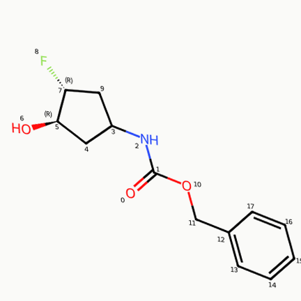 O=C(NC1C[C@@H](O)[C@H](F)C1)OCc1ccccc1